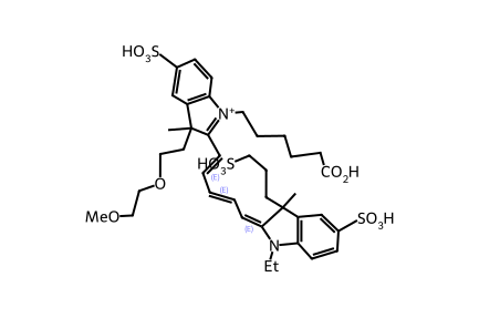 CCN1/C(=C/C=C/C=C/C2=[N+](CCCCCC(=O)O)c3ccc(S(=O)(=O)O)cc3C2(C)CCOCCOC)C(C)(CCCS(=O)(=O)O)c2cc(S(=O)(=O)O)ccc21